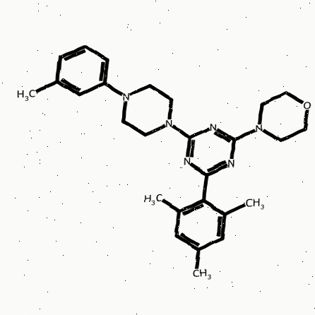 Cc1cccc(N2CCN(c3nc(-c4c(C)cc(C)cc4C)nc(N4CCOCC4)n3)CC2)c1